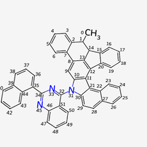 CC1c2ccccc2-c2cc3c(c4c2C1c1ccccc1-4)c1c2ccccc2ccc1n3-c1nc(-c2cccc3ccccc23)nc2ccccc12